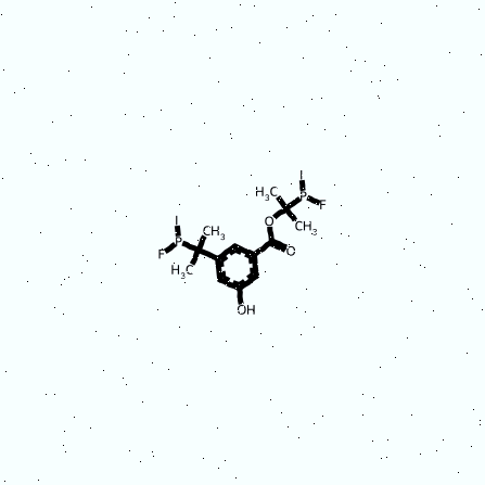 CC(C)(OC(=O)c1cc(O)cc(C(C)(C)P(F)I)c1)P(F)I